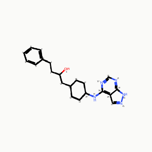 OC(CCc1ccccc1)CC1CCC(Nc2ncnc3[nH]ncc23)CC1